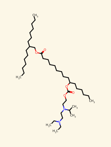 CCCCCCCC(CCCCCCC)COC(=O)CCCCCCCCC(CCCCCC)OC(=O)OCCN(CCN(CC)CC)C(C)C